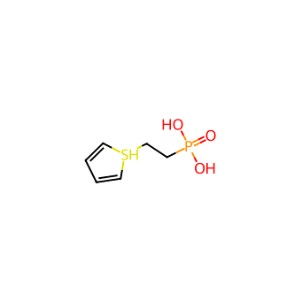 O=P(O)(O)CC[SH]1C=CC=C1